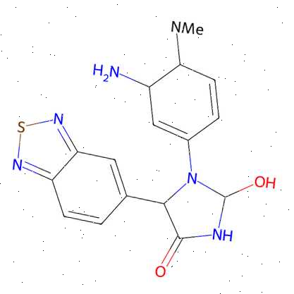 CNC1C=CC(N2C(O)NC(=O)C2c2ccc3nsnc3c2)=CC1N